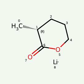 C[C@@H]1CCCOC1=O.[Li]